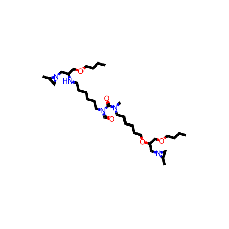 CCCCOCC(CN1CC1C)NCCCCCCN(C=O)C(=O)N(C)CCCCCCOC(COCCCC)CN1CC1C